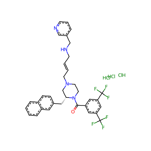 Cl.Cl.Cl.O=C(c1cc(C(F)(F)F)cc(C(F)(F)F)c1)N1CCN(C/C=C/CNCc2cccnc2)C[C@H]1Cc1ccc2ccccc2c1